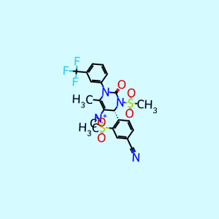 [C-]#[N+]C1=C(C)N(c2cccc(C(F)(F)F)c2)C(=O)N(S(C)(=O)=O)[C@@H]1c1ccc(C#N)cc1S(C)(=O)=O